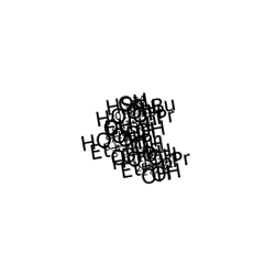 CCCC(O)(O)C(O)(CC)C(O)(O)O.CCCC(O)(O)C(O)(CC)C(O)(O)O.CCCC(O)(O)C(O)(CC)C(O)(O)O.CCC[CH2][SnH]